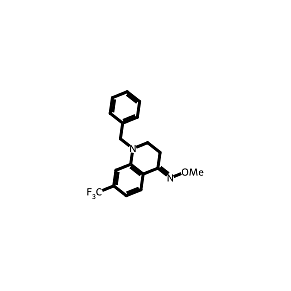 CON=C1CCN(Cc2ccccc2)c2cc(C(F)(F)F)ccc21